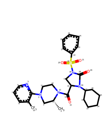 C[C@@H]1CN(c2ncccc2C(F)(F)F)CCN1C(=O)C1CN(S(=O)(=O)c2ccccc2)C(=O)N1C1CCCCC1